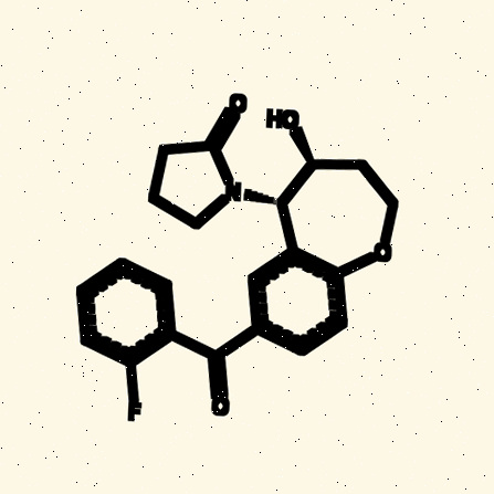 O=C(c1ccc2c(c1)[C@H](N1CCCC1=O)[C@@H](O)CCO2)c1ccccc1F